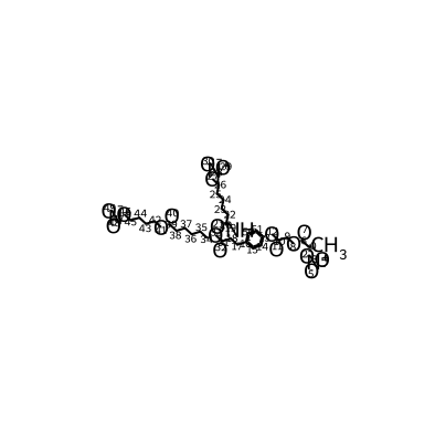 CC(O[N+](=O)[O-])C(=O)OCC(=O)Oc1ccc(CC(NC(=O)CCCCCO[N+](=O)[O-])C(=O)OCCCCCC(=O)OCCCCO[N+](=O)[O-])cc1